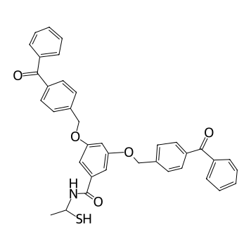 CC(S)NC(=O)c1cc(OCc2ccc(C(=O)c3ccccc3)cc2)cc(OCc2ccc(C(=O)c3ccccc3)cc2)c1